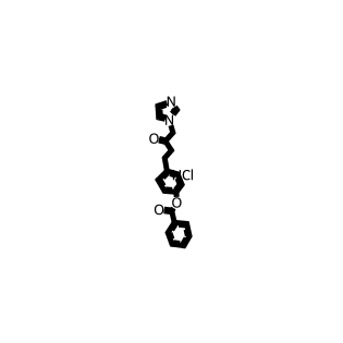 Cl.O=C(CCc1ccc(OC(=O)c2ccccc2)cc1)Cn1ccnc1